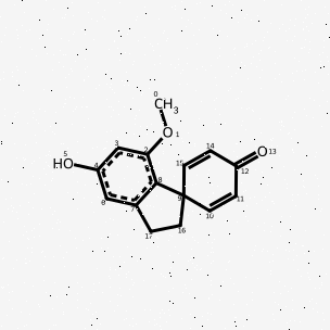 COc1cc(O)cc2c1C1(C=CC(=O)C=C1)CC2